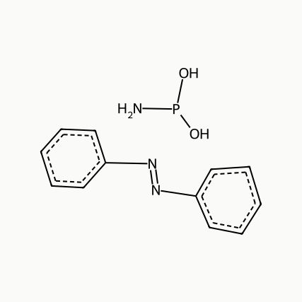 NP(O)O.c1ccc(N=Nc2ccccc2)cc1